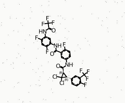 O=C(Nc1cc(NC(=O)C(F)(F)F)c(F)cc1F)c1cc(NC(=O)[C@H]2[C@H](c3ccc(F)c(C(F)(F)F)c3)C2(Cl)Cl)ccc1F